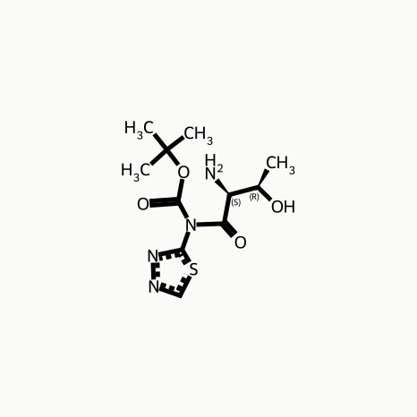 C[C@@H](O)[C@H](N)C(=O)N(C(=O)OC(C)(C)C)c1nncs1